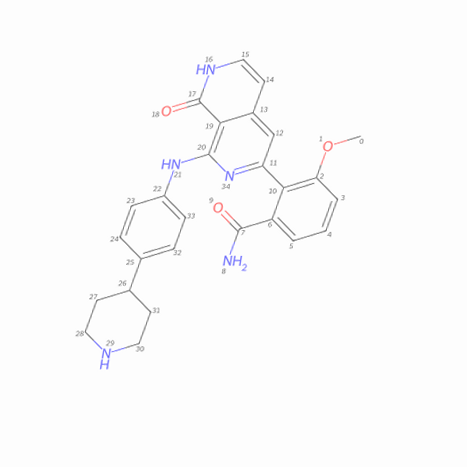 COc1cccc(C(N)=O)c1-c1cc2cc[nH]c(=O)c2c(Nc2ccc(C3CCNCC3)cc2)n1